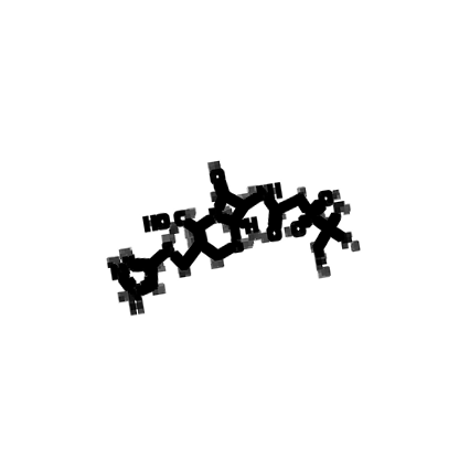 O=C(CS(=O)(=O)C(F)(F)CF)NC1C(=O)N2C(C(=O)O)=C(CSc3c[nH]nn3)CS[C@@H]12